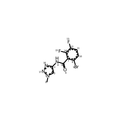 Cn1cc(NC(=O)c2c(Br)ccc(F)c2F)nn1